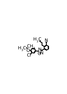 C=CCCc1c(C#N)cccc1-c1noc(-c2ccc(OC(C)C)c(Cl)c2)n1